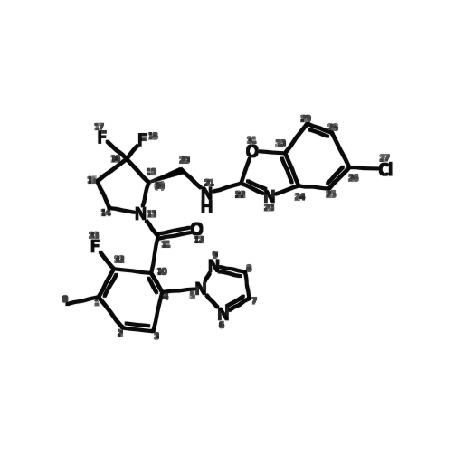 Cc1ccc(-n2nccn2)c(C(=O)N2CCC(F)(F)[C@H]2CNc2nc3cc(Cl)ccc3o2)c1F